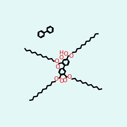 CCCCCCCCCCCCOC(=O)c1ccc(-c2ccc(C(=O)OCCCCCCCCCCCC)c(O)c2C(=O)OCCCCCCCCCCCC)cc1C(=O)OCCCCCCCCCCCC.c1ccc(-c2ccccc2)cc1